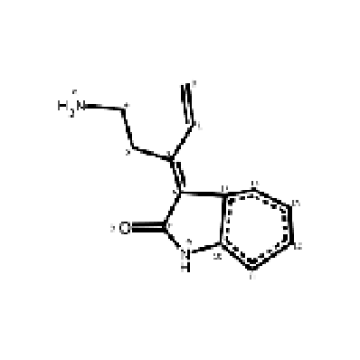 C=CC(CCN)=C1C(=O)Nc2ccccc21